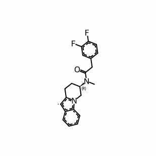 CN(C(=O)Cc1ccc(F)c(F)c1)[C@@H]1CCc2[c]c3ccccc3n2C1